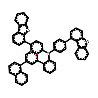 c1cc(-c2ccccc2N(c2ccc(-c3cccc4c3sc3ccccc34)cc2)c2ccc(-c3cccc4oc5ccccc5c34)cc2)cc(-c2cccc3ccccc23)c1